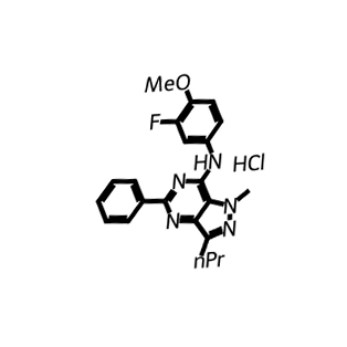 CCCc1nn(C)c2c(Nc3ccc(OC)c(F)c3)nc(-c3ccccc3)nc12.Cl